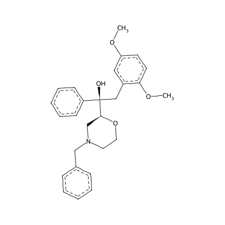 COc1ccc(OC)c(C[C@@](O)(c2ccccc2)[C@@H]2CN(Cc3ccccc3)CCO2)c1